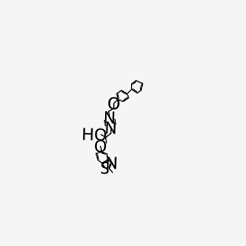 Cc1nc2cc(OCC(O)CN3CCN(CCOc4ccc(-c5ccccc5)cc4)CC3)ccc2s1